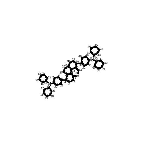 C=c1ccc(-c2ccc(N(c3ccccc3)c3ccccc3)cc2)c2ccc3ccc(-c4ccc(N(c5ccccc5)c5ccccc5)cc4)/c(=C/C)c3c12